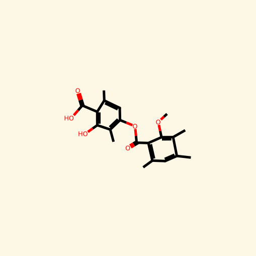 COc1c(C)c(C)cc(C)c1C(=O)Oc1cc(C)c(C(=O)O)c(O)c1C